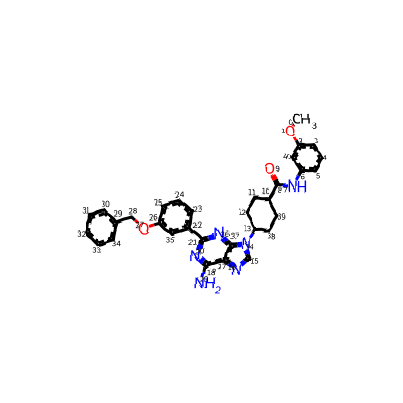 COc1cccc(NC(=O)C2CCC(n3cnc4c(N)nc(-c5cccc(OCc6ccccc6)c5)nc43)CC2)c1